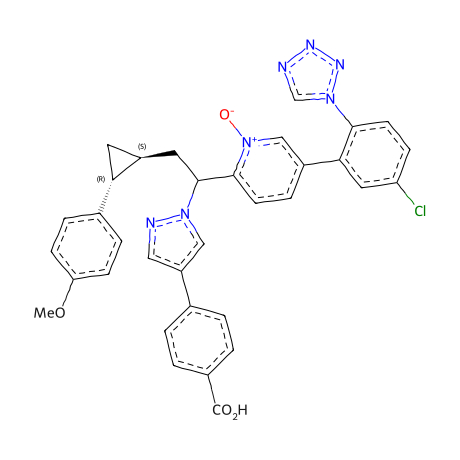 COc1ccc([C@@H]2C[C@H]2CC(c2ccc(-c3cc(Cl)ccc3-n3cnnn3)c[n+]2[O-])n2cc(-c3ccc(C(=O)O)cc3)cn2)cc1